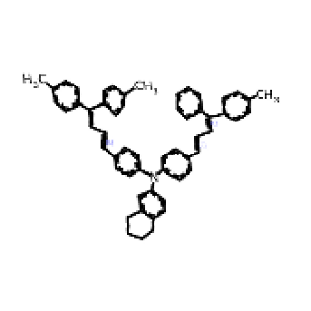 Cc1ccc(C(=C/C=C/c2ccc(N(c3ccc(/C=C/C=C(\c4ccccc4)c4ccc(C)cc4)cc3)c3ccc4c(c3)CCCC4)cc2)c2ccc(C)cc2)cc1